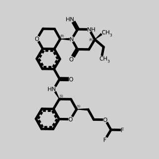 CC[C@]1(C)CC(=O)N([C@@H]2CCOc3ccc(C(=O)N[C@H]4C[C@@H](CCOC(F)F)Oc5ccccc54)cc32)C(=N)N1